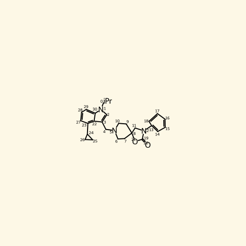 CC(C)n1cc(CN2CCC3(CC2)CN(c2ccccc2)C(=O)O3)c2c(C3CC3)cccc21